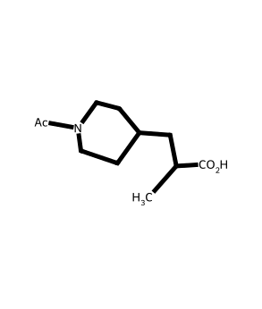 CC(=O)N1CCC(CC(C)C(=O)O)CC1